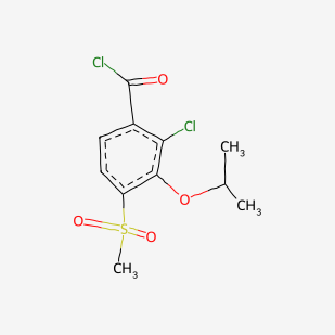 CC(C)Oc1c(S(C)(=O)=O)ccc(C(=O)Cl)c1Cl